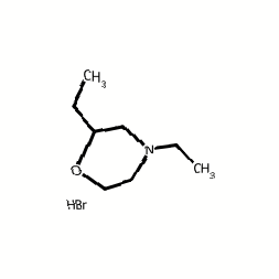 Br.CCC1CN(CC)CCO1